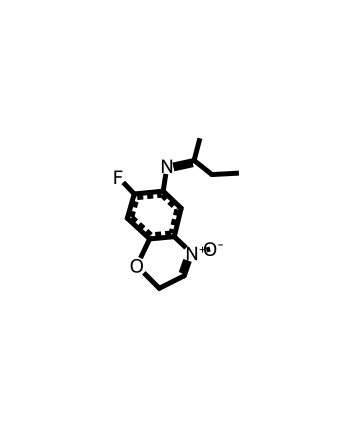 CCC(C)=Nc1cc2c(cc1F)OCC=[N+]2[O-]